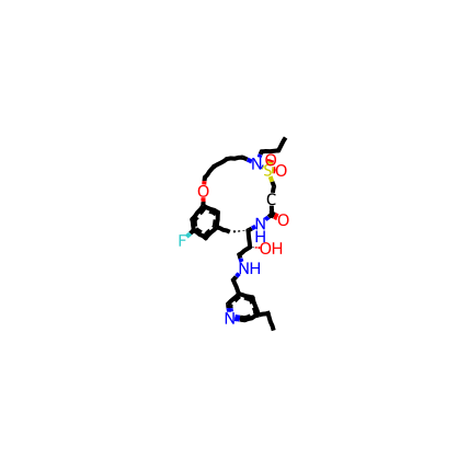 CCCN1CCCCOc2cc(F)cc(c2)C[C@@H]([C@H](O)CNCc2cncc(CC)c2)NC(=O)CCS1(=O)=O